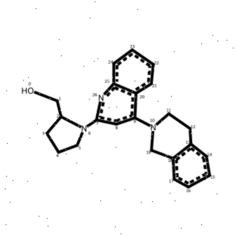 OCC1CCCN1c1cc(N2CCc3ccccc3C2)c2ccccc2n1